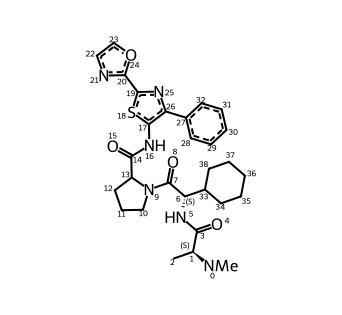 CN[C@@H](C)C(=O)N[C@H](C(=O)N1CCCC1C(=O)Nc1sc(-c2ncco2)nc1-c1ccccc1)C1CCCCC1